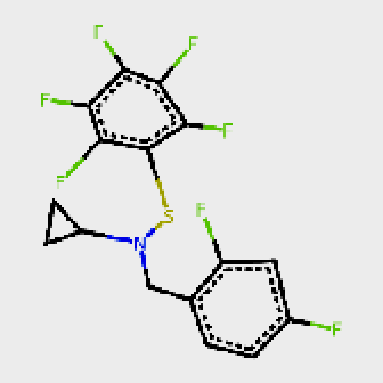 Fc1ccc(CN(Sc2c(F)c(F)c(F)c(F)c2F)C2CC2)c(F)c1